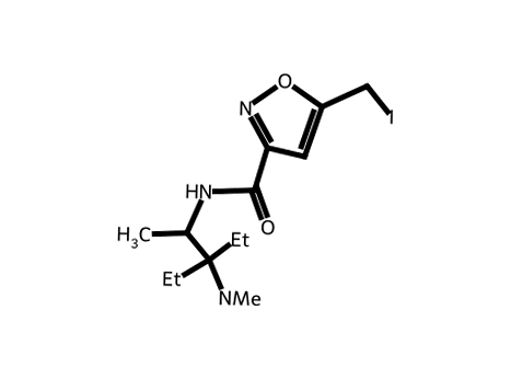 CCC(CC)(NC)C(C)NC(=O)c1cc(CI)on1